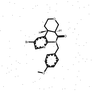 COc1ccc(CN2C(=O)[C@@H]3COCC[C@H]3c3cc(Br)cnc32)cc1